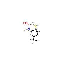 CN1c2cc(C(C)(C)C)ccc2SCC1O